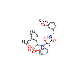 COc1cccc(CNC(=O)C(Cc2ccccc2)C(=O)NC(CC(C)C)B(O)O)c1